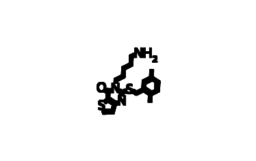 Cc1ccc(C)c(CSc2nc3ccsc3c(=O)n2CCCCCN)c1